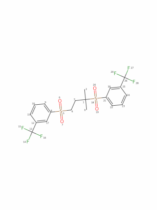 CC(C)(CCS(=O)(=O)c1cccc(C(F)(F)F)c1)S(=O)(=O)c1cccc(C(F)(F)F)c1